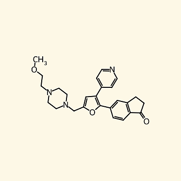 COCCN1CCN(Cc2cc(-c3ccncc3)c(-c3ccc4c(c3)CCC4=O)o2)CC1